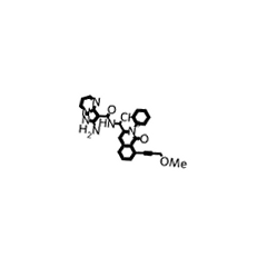 COCC#Cc1cccc2cc(C(C)NC(=O)c3c(N)nn4cccnc34)n(-c3ccccc3)c(=O)c12